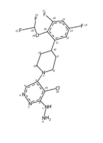 NNc1nncc(N2CCC(c3cc(F)cc(F)c3OC(F)F)CC2)c1Cl